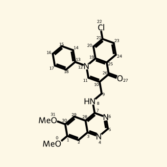 COc1cc2ncnc(NCc3cn(-c4ccccc4)c4cc(Cl)ccc4c3=O)c2cc1OC